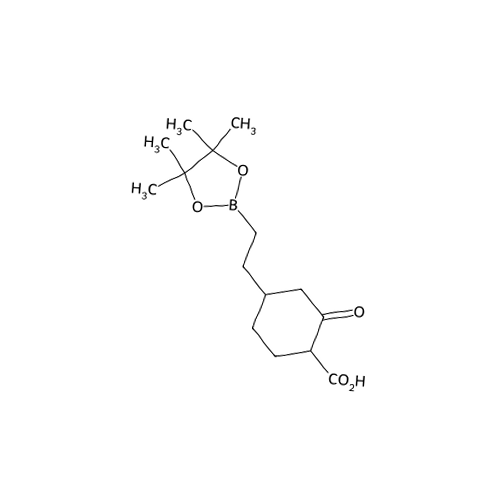 CC1(C)OB(CCC2CCC(C(=O)O)C(=O)C2)OC1(C)C